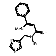 CN/C(=C\C(=N)N(Cc1cnc[nH]1)C(C)C)c1ccccc1